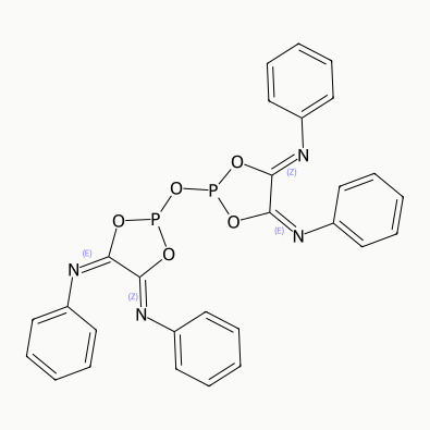 c1ccc(/N=c2\op(Op3oc(=N\c4ccccc4)/c(=N\c4ccccc4)o3)o\c2=N\c2ccccc2)cc1